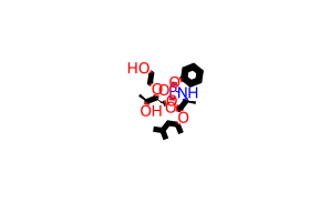 CC(C)CC(C)OC(=O)[C@H](C)N[P@@](=O)(OC[C@@H](OCCO)[C@H](C)O)Oc1ccccc1